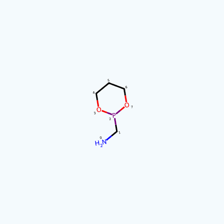 NCP1OCCCO1